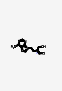 Nc1ncnc2c1ncn2CC/C(=C/Cl)CO